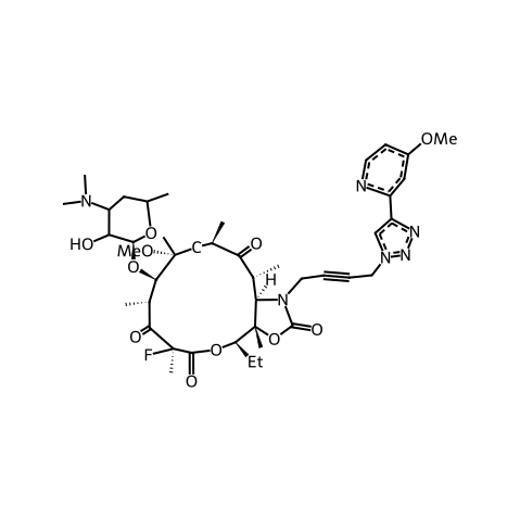 CC[C@H]1OC(=O)[C@@](C)(F)C(=O)[C@H](C)[C@@H](O[C@@H]2OC(C)CC(N(C)C)C2O)[C@](C)(OC)C[C@@H](C)C(=O)[C@H](C)[C@H]2N(CC#CCn3cc(-c4cc(OC)ccn4)nn3)C(=O)O[C@]12C